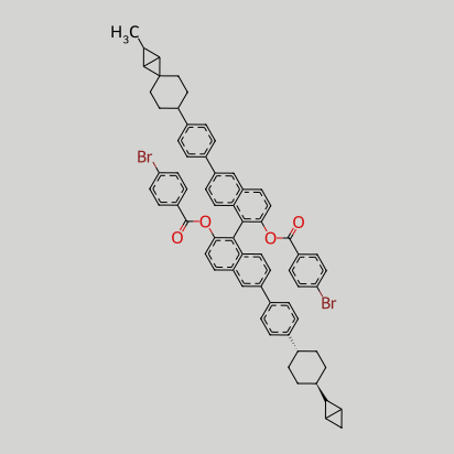 CC1C2C1C21CCC(c2ccc(-c3ccc4c(-c5c(OC(=O)c6ccc(Br)cc6)ccc6cc(-c7ccc([C@H]8CC[C@H](C9C%10CC%109)CC8)cc7)ccc56)c(OC(=O)c5ccc(Br)cc5)ccc4c3)cc2)CC1